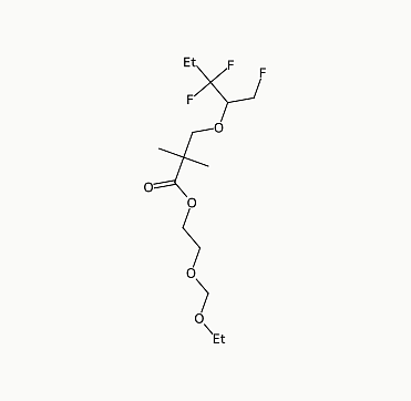 CCOCOCCOC(=O)C(C)(C)COC(CF)C(F)(F)CC